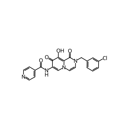 O=C(Nc1cn2ccn(Cc3cccc(Cl)c3)c(=O)c2c(O)c1=O)c1ccncc1